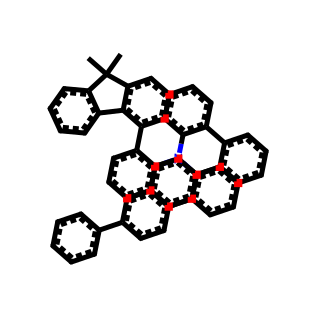 CC1(C)c2ccccc2-c2c(-c3ccccc3N(c3ccccc3-c3ccc(-c4ccccc4)cc3)c3ccccc3-c3ccccc3-c3ccccc3)cccc21